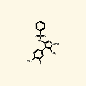 CCn1nc(NS(=O)(=O)c2ccccc2)c(-c2ccc(OC)c(F)c2)c1C